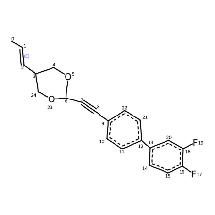 C/C=C/C1COC(C#Cc2ccc(-c3ccc(F)c(F)c3)cc2)OC1